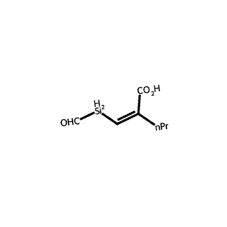 CCCC(=C[SiH2]C=O)C(=O)O